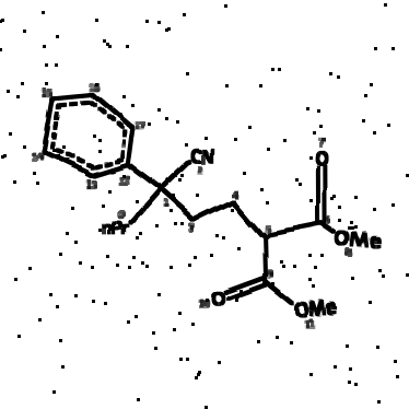 CCCC(C#N)(CCC(C(=O)OC)C(=O)OC)c1ccccc1